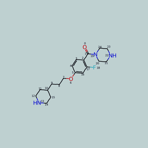 O=C(c1ccc(OCCCC2CCNCC2)cc1F)N1CCNCC1